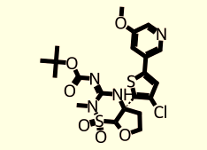 COc1cncc(-c2cc(Cl)c([C@]34CCOC3S(=O)(=O)N(C)/C(=N\C(=O)OC(C)(C)C)N4)s2)c1